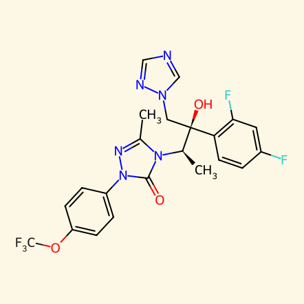 Cc1nn(-c2ccc(OC(F)(F)F)cc2)c(=O)n1[C@H](C)[C@](O)(Cn1cncn1)c1ccc(F)cc1F